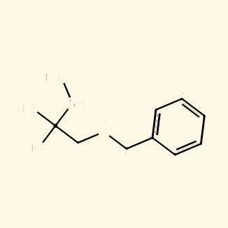 BC(O)(COCc1ccccc1)NC